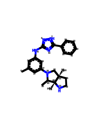 Cc1cc(Nc2n[nH]c(-c3ccccc3)n2)cc(N2C[C@H]3CCN[C@H]3C2C)c1